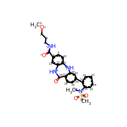 COCCCNC(=O)c1ccc2c(c1)NC(=O)c1ccc(-c3ccccc3N(C)S(C)(=O)=O)cc1N2